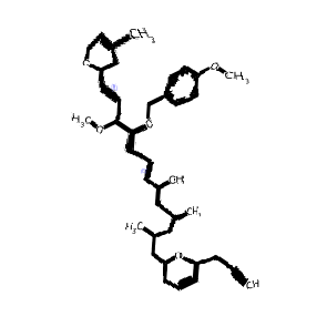 C#CCC1C=CCC(CC(C)CC(=C)CC(O)/C=C/CC(OCc2ccc(OC)cc2)C(/C=C/C2CC(C)=CCO2)OC)O1